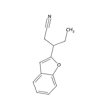 CCC(CC#N)c1cc2ccccc2o1